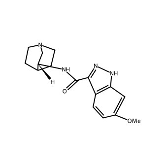 COc1ccc2c(C(=O)N[C@H]3CN4CCC3CC4)n[nH]c2c1